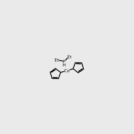 C1=C[CH]([Co][CH]2C=CC=C2)C=C1.CCPCC